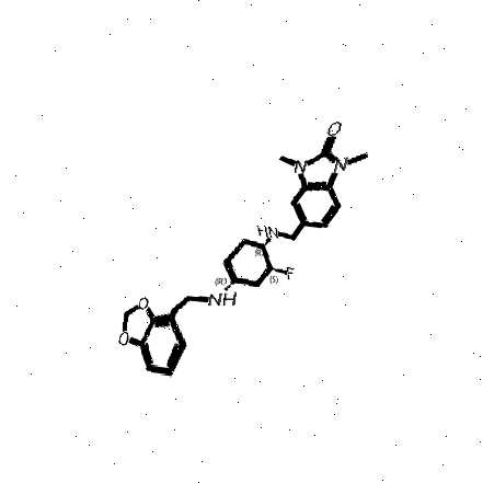 Cn1c(=O)n(C)c2cc(CN[C@@H]3CC[C@@H](NCc4cccc5c4OCO5)C[C@@H]3F)ccc21